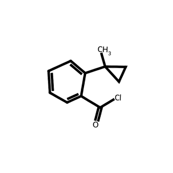 CC1(c2ccccc2C(=O)Cl)CC1